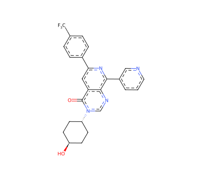 O=c1c2cc(-c3ccc(C(F)(F)F)cc3)nc(-c3cccnc3)c2ncn1[C@H]1CC[C@H](O)CC1